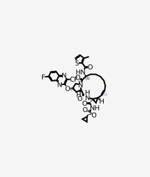 Cc1ccsc1C(=O)N[C@H]1CCCCC/C=C\[C@@H]2C[C@@]2(C(=O)NS(=O)(=O)C2CC2)NC(=O)[C@@H]2C[C@@H](Oc3nc4cc(F)ccc4nc3C(F)(F)F)CN2C1=O